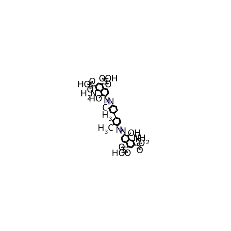 Cc1cc(-c2ccc(/N=N/c3ccc4c(S(=O)(=O)O)cc(S(=O)(=O)O)c(N)c4c3O)c(C)c2)ccc1/N=N/c1ccc2c(S(=O)(=O)O)cc([SH](=O)=O)c(N)c2c1O